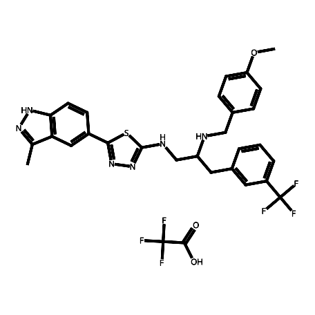 COc1ccc(CNC(CNc2nnc(-c3ccc4[nH]nc(C)c4c3)s2)Cc2cccc(C(F)(F)F)c2)cc1.O=C(O)C(F)(F)F